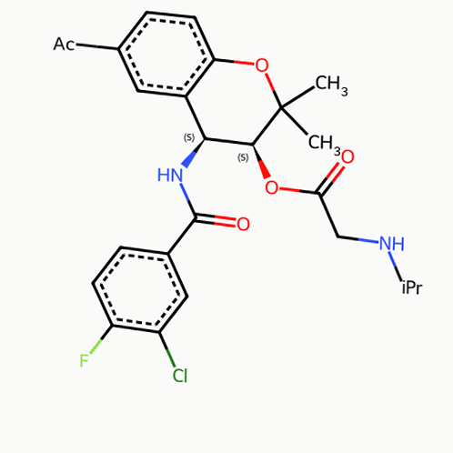 CC(=O)c1ccc2c(c1)[C@H](NC(=O)c1ccc(F)c(Cl)c1)[C@H](OC(=O)CNC(C)C)C(C)(C)O2